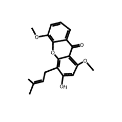 COc1cccc2c(=O)c3c(OC)cc(O)c(CC=C(C)C)c3oc12